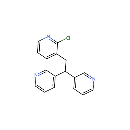 Clc1ncccc1CC(c1cccnc1)c1cccnc1